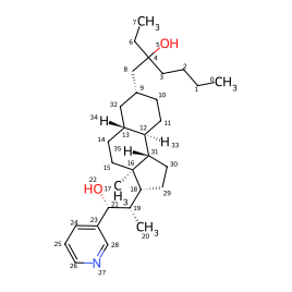 CCCCC(O)(CC)C[C@@H]1CC[C@@H]2[C@H](CC[C@]3(C)[C@@H]([C@H](C)[C@@H](O)c4cccnc4)CC[C@@H]23)C1